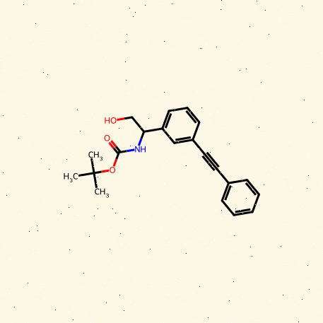 CC(C)(C)OC(=O)NC(CO)c1cccc(C#Cc2ccccc2)c1